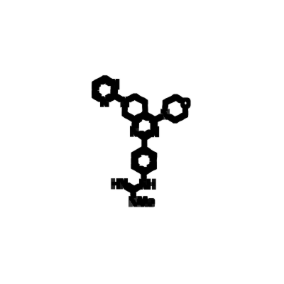 CNC(=N)Nc1ccc(-c2nc3c(c(N4CCOCC4)n2)CCN(c2ncccn2)C3)cc1